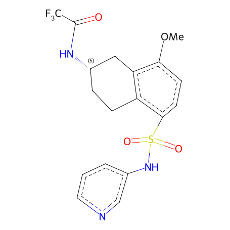 COc1ccc(S(=O)(=O)Nc2cccnc2)c2c1C[C@@H](NC(=O)C(F)(F)F)CC2